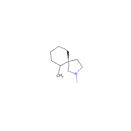 CC1CCCC[C@]12CCN(I)C2